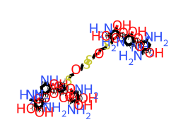 NCC1O[C@H](O[C@@H]2C(N)C[C@@H](N)C(O)[C@H]2O[C@@H]2O[C@H](CSCCOCCSSCCOCCSCC3O[C@H](O[C@H]4C(N)C[C@H](N)[C@H](O[C@H]5OC(CN)[C@@H](O)CC5N)C4O)C(O)C(N)[C@@H]3O)[C@H](OC3O[C@@H](CN)C(O)[C@@H](O)[C@H]3N)[C@@H]2O)C(N)[C@@H](O)[C@@H]1O